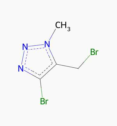 Cn1nnc(Br)c1CBr